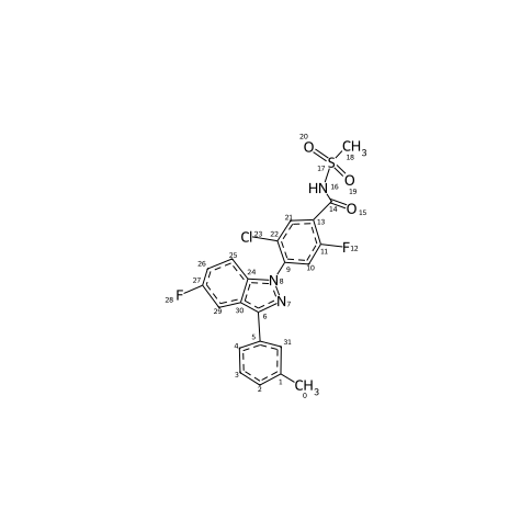 Cc1cccc(-c2nn(-c3cc(F)c(C(=O)NS(C)(=O)=O)cc3Cl)c3ccc(F)cc23)c1